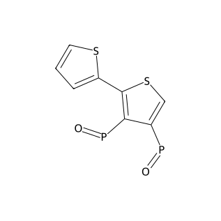 O=Pc1csc(-c2cccs2)c1P=O